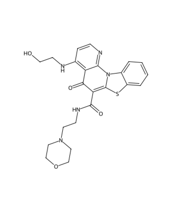 O=C(NCCN1CCOCC1)c1c(=O)c2c(NCCO)ccnc2n2c1sc1ccccc12